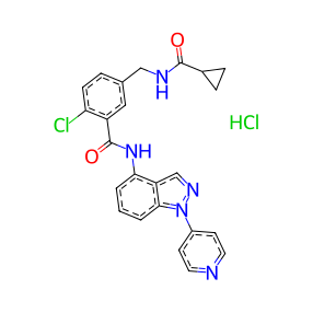 Cl.O=C(Nc1cccc2c1cnn2-c1ccncc1)c1cc(CNC(=O)C2CC2)ccc1Cl